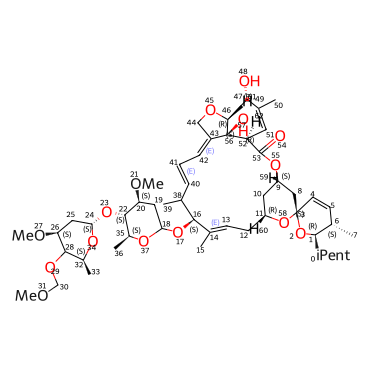 CCCC(C)[C@H]1O[C@]2(C=C[C@@H]1C)C[C@@H]1C[C@@H](C/C=C(\C)[C@@H](OC3C[C@H](OC)[C@@H](O[C@H]4C[C@H](OC)C(OCOC)[C@H](C)O4)[C@H](C)O3)C(C)/C=C/C=C3\CO[C@@H]4[C@H](O)C(C)=C[C@@H](C(=O)O1)[C@]34O)O2